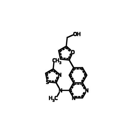 Cc1csc(N(C)c2ncnc3ccc(-c4ccc(CO)o4)cc23)n1